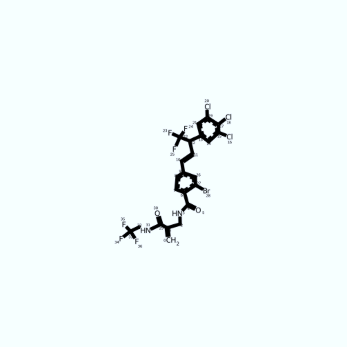 C=C(CNC(=O)c1ccc(/C=C/C(c2cc(Cl)c(Cl)c(Cl)c2)C(F)(F)F)cc1Br)C(=O)NCC(F)(F)F